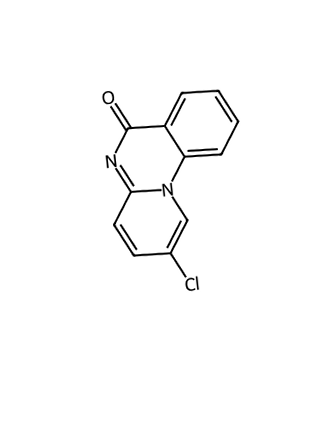 O=c1nc2ccc(Cl)cn2c2ccccc12